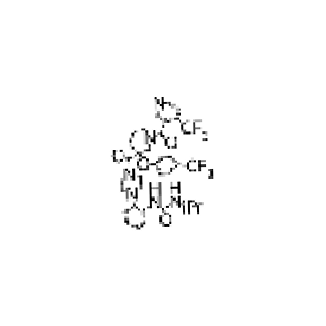 CC(C)NC(=O)Nc1ccccc1N1CCN(C(=O)C2(Oc3ccc(C(F)(F)F)cc3)CCCN(C(=O)c3cnccc3C(F)(F)F)C2)CC1